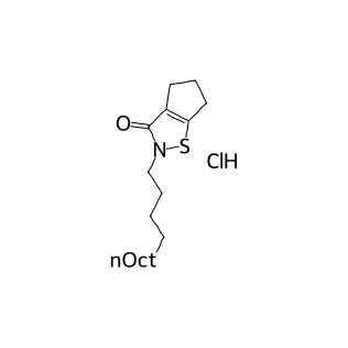 CCCCCCCCCCCCn1sc2c(c1=O)CCC2.Cl